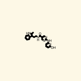 Cc1[nH]c2ccccc2c1CCNC(=O)c1cnc(Nc2cccc(O)n2)nc1